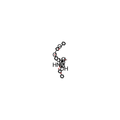 CC(C)(C)OC(=O)N1Cc2cc(OCCc3ccc(OCc4ccccc4)cc3)ccc2CC1C(=O)N[C@@H](Cc1ccc(-c2ccccc2)cc1)C(=O)O